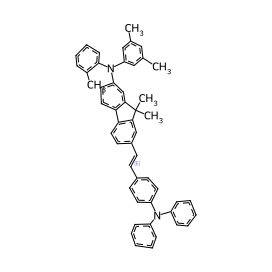 Cc1cc(C)cc(N(c2ccc3c(c2)C(C)(C)c2cc(/C=C/c4ccc(N(c5ccccc5)c5ccccc5)cc4)ccc2-3)c2ccccc2C)c1